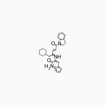 NC(=O)[C@H](Cc1cccs1)N[C@H](/C=C/C(=O)N1CCc2ccccc21)CC1CCCCC1